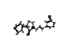 O=C1N(CC=Cc2cccc(Cl)c2)CCN1c1ccncc1